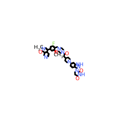 COc1cc(-c2cn(C)c(=O)c3cnccc23)cc(F)c1CN1CCN(C(=O)CC2CCN(c3ccc4c(N5CCC(=O)NC5=O)n[nH]c4c3)CC2)CC1